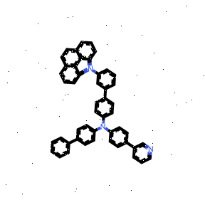 c1ccc(-c2ccc(N(c3ccc(-c4cccnc4)cc3)c3ccc(-c4cccc(-n5c6cccc7ccc8cccc5c8c76)c4)cc3)cc2)cc1